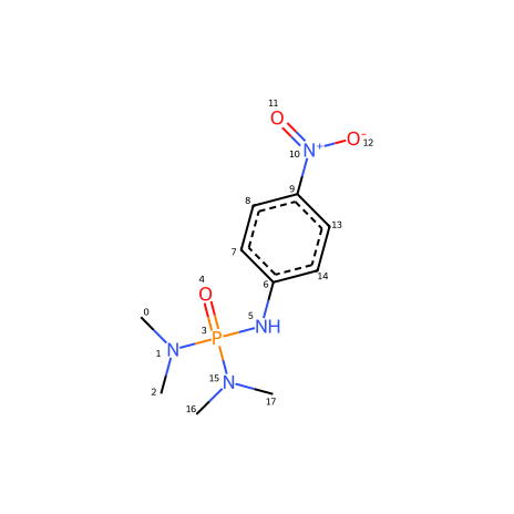 CN(C)P(=O)(Nc1ccc([N+](=O)[O-])cc1)N(C)C